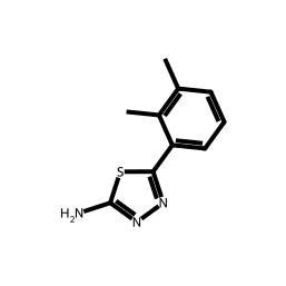 Cc1cccc(-c2nnc(N)s2)c1C